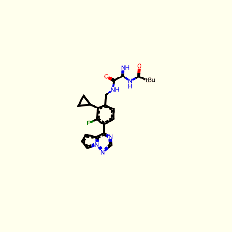 CC(C)(C)C(=O)NC(=N)C(=O)NCc1ccc(-c2ncnn3cccc23)c(F)c1C1CC1